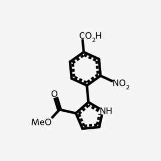 COC(=O)c1cc[nH]c1-c1ccc(C(=O)O)cc1[N+](=O)[O-]